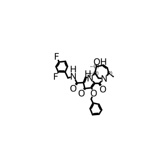 C[C@@H]1C=C[C@](C)(O)[C@H]2CN1C(=O)c1c(OCc3ccccc3)c(=O)c(C(=O)NCc3ccc(F)cc3F)cn12